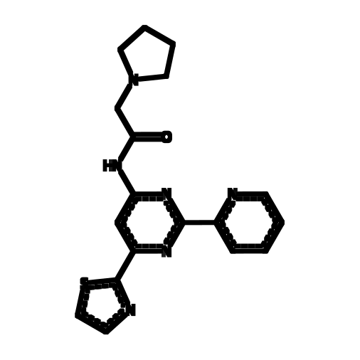 O=C(CN1CCCC1)Nc1cc(-c2nccs2)nc(-c2ccccn2)n1